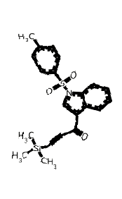 Cc1ccc(S(=O)(=O)n2cc(C(=O)C#C[Si](C)(C)C)c3ccccc32)cc1